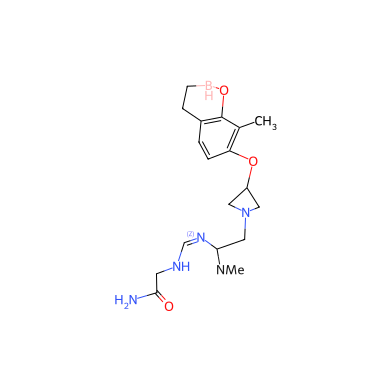 CNC(CN1CC(Oc2ccc3c(c2C)OBCC3)C1)/N=C\NCC(N)=O